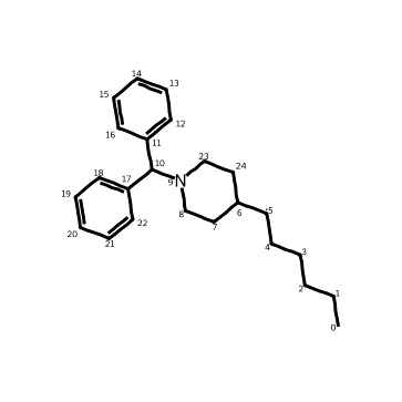 CCCCC[CH]C1CCN(C(c2ccccc2)c2ccccc2)CC1